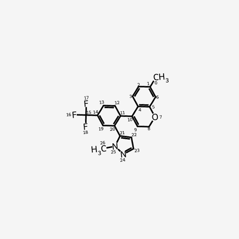 Cc1ccc2c(c1)OCC=C2c1ccc(C(F)(F)F)cc1-c1ccnn1C